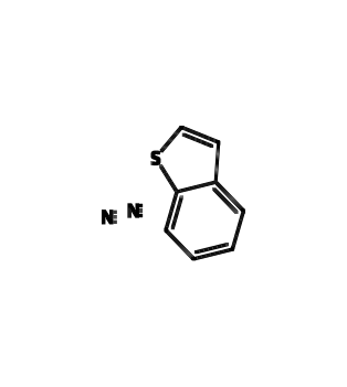 [N].[N].c1ccc2sccc2c1